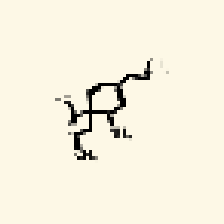 C=CCC1=CC(N)C(CC=C)(C(=O)O)C=C1